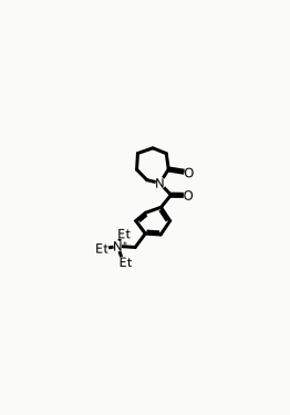 CC[N+](CC)(CC)Cc1ccc(C(=O)N2CCCCCC2=O)cc1